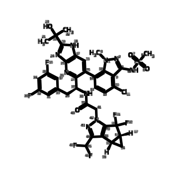 Cn1nc(NS(C)(=O)=O)c2c(Cl)ccc(-c3cc4[nH]c(C(C)(C)O)nc4nc3[C@H](Cc3cc(F)cc(F)c3)NC(=O)Cn3nc(C(F)F)c4c3C(F)(F)[C@@H]3C[C@H]43)c21